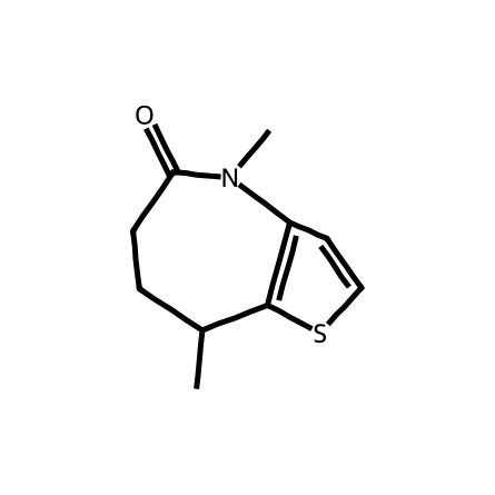 CC1CCC(=O)N(C)c2ccsc21